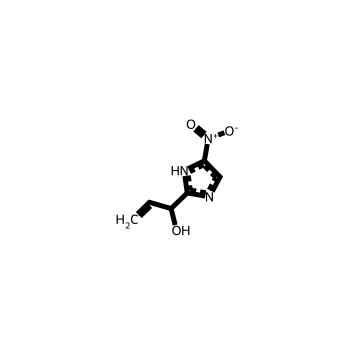 C=CC(O)c1ncc([N+](=O)[O-])[nH]1